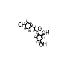 O=C(C=Cc1ccc(Cl)cc1)c1[c]cc(O)cc1O